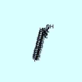 CCCN(CC(O)CO)S(=O)(=O)C(F)(F)C(F)(F)C(F)(F)C(F)(F)C(F)(F)C(F)(F)C(F)(F)C(F)(F)C(F)(F)C(F)(F)C(F)(F)C(F)(F)C(F)(F)C(F)(F)C(F)(F)F